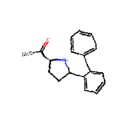 COC(=O)[C@@H]1CCC(c2ccccc2-c2ccccc2)N1